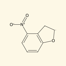 O=[N+]([O-])c1cccc2c1C[CH]O2